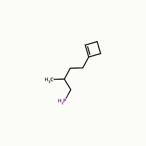 CC(CP)CCC1=CCC1